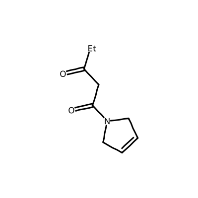 CCC(=O)CC(=O)N1CC=CC1